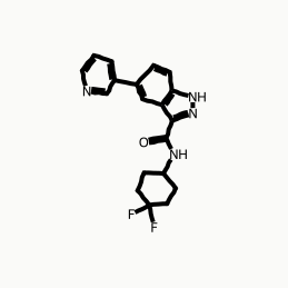 O=C(NC1CCC(F)(F)CC1)c1n[nH]c2ccc(-c3cccnc3)cc12